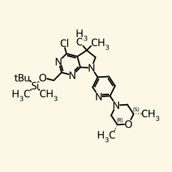 C[C@@H]1CN(c2ccc(N3CC(C)(C)c4c(Cl)nc(CO[Si](C)(C)C(C)(C)C)nc43)cn2)C[C@H](C)O1